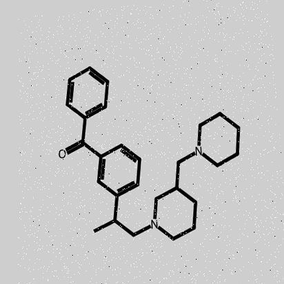 CC(CN1CCCC(CN2CCCCC2)C1)c1cccc(C(=O)c2ccccc2)c1